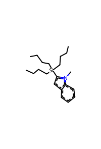 CCCC[Si](CCCC)(CCCC)c1cc2ccccc2n1C